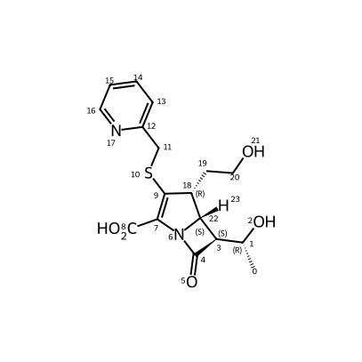 C[C@@H](O)[C@H]1C(=O)N2C(C(=O)O)=C(SCc3ccccn3)[C@H](CCO)[C@H]12